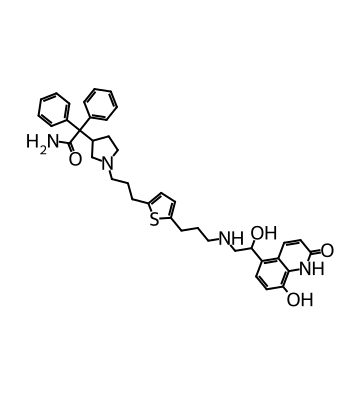 NC(=O)C(c1ccccc1)(c1ccccc1)C1CCN(CCCc2ccc(CCCNCC(O)c3ccc(O)c4[nH]c(=O)ccc34)s2)C1